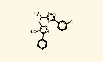 CC(Sc1nnc(-c2ccncc2)n1C)c1noc(-c2cccc(Cl)c2)n1